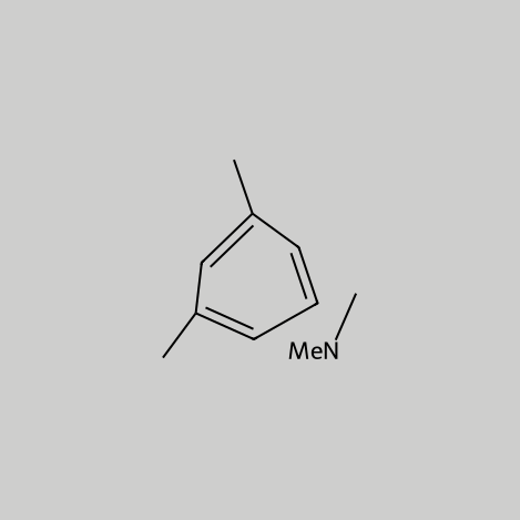 CNC.Cc1cccc(C)c1